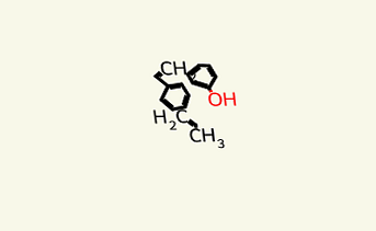 C=CC.C=Cc1ccccc1.Oc1ccccc1